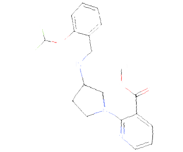 CC(C)OC(=O)c1cccnc1N1CCC(NCc2ccccc2OC(F)F)C1